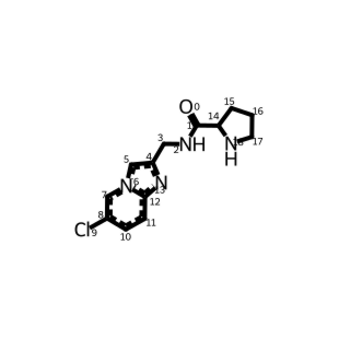 O=C(NCc1cn2cc(Cl)ccc2n1)C1CCCN1